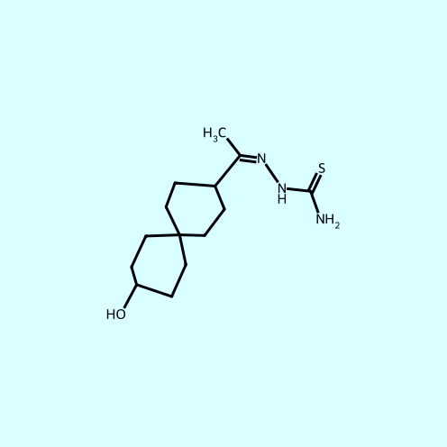 C/C(=N/NC(N)=S)C1CCC2(CCC(O)CC2)CC1